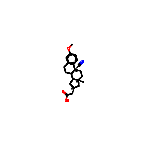 COc1ccc2c(c1)CCC1C3C[C@@H](CC(=O)O)C[C@@]3(C)CC[C@]21C#N